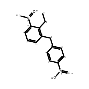 CCc1c(Cc2ccc([N+](=O)[O-])cc2)cccc1[N+](=O)[O-]